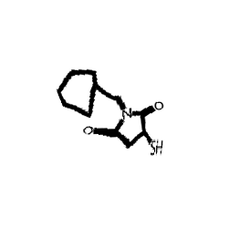 O=C1CC(S)C(=O)N1CC1CCCCC1